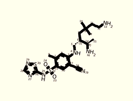 Cc1cc(NC[C@H](CC(C)(C)CCN)[C@@H](C)N)c(C#N)cc1S(=O)(=O)Nc1ncns1